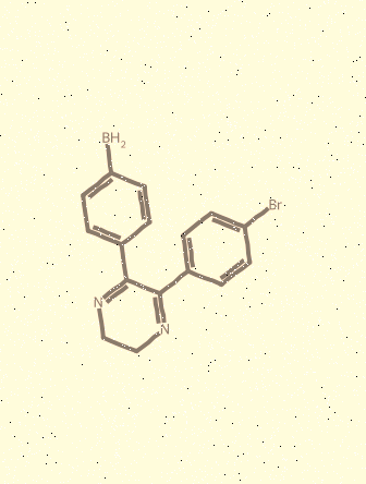 Bc1ccc(C2=NCCN=C2c2ccc(Br)cc2)cc1